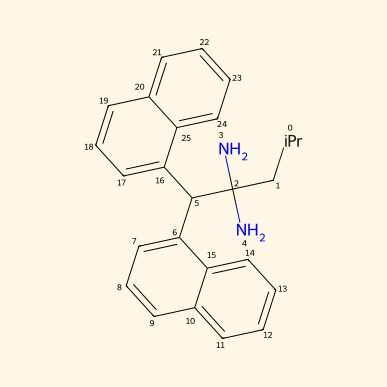 CC(C)CC(N)(N)C(c1cccc2ccccc12)c1cccc2ccccc12